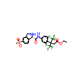 CCOC(=O)CC(c1ccc(NC(=O)[C@H]2NCc3cc(S(C)(=O)=O)ccc32)cc1)(C(F)(F)F)C(F)(F)F